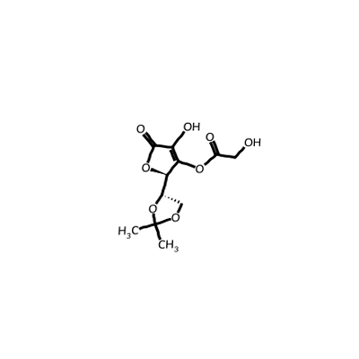 CC1(C)OC[C@@H]([C@H]2OC(=O)C(O)=C2OC(=O)CO)O1